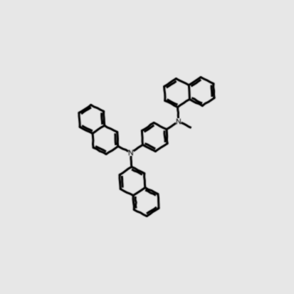 CN(c1ccc(N(c2ccc3ccccc3c2)c2ccc3ccccc3c2)cc1)c1cccc2ccccc12